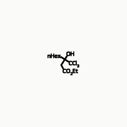 CCCCCCC(O)(CC(=O)OCC)C(Cl)(Cl)Cl